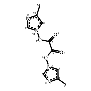 Cc1cn(OC(=O)C(=O)On2cnc(C)c2)cn1